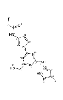 CCC(=O)NC1=C[SH](c2nc(CO)cc(Nc3cc(C)n[nH]3)n2)C=C1